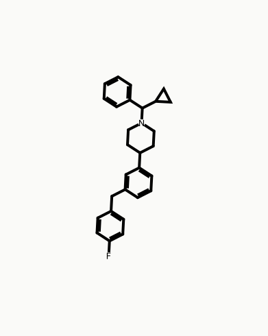 Fc1ccc(Cc2cccc(C3CCN(C(c4ccccc4)C4CC4)CC3)c2)cc1